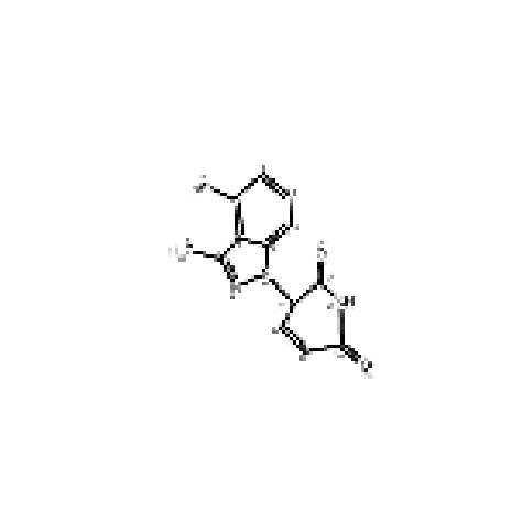 CCCc1cccc2c1c(C)nn2C1C=CC(=O)NC1=O